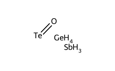 O=[Te].[GeH4].[SbH3]